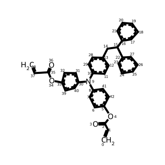 C=CC(=O)Oc1ccc(N(c2ccc(CC(c3ccccc3)c3ccccc3)cc2)c2ccc(OC(=O)C=C)cc2)cc1